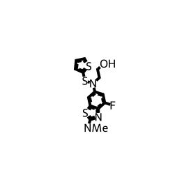 CNc1nc2c(F)cc(N(CCO)Sc3cccs3)cc2s1